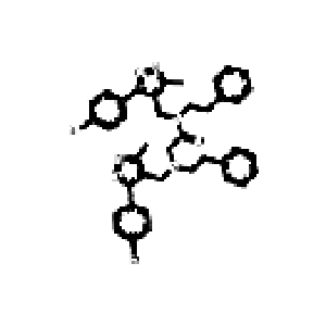 Cc1noc(-c2ccc(Br)cc2)c1CN(CCc1ccccc1)CC(=O)N(CCc1ccccc1)Cc1c(C)noc1-c1ccc(Br)cc1